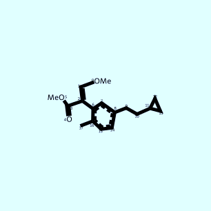 CO/C=C(/C(=O)OC)c1cc(CCC2CC2)ccc1C